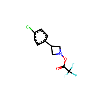 O=C(ON1CC(c2ccc(Cl)cc2)C1)C(F)(F)F